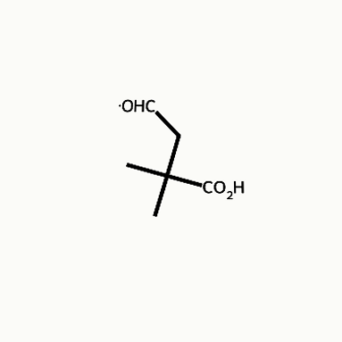 CC(C)(C[C]=O)C(=O)O